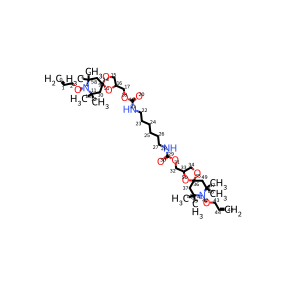 C=CCON1C(C)(C)CC2(CC1(C)C)OCC(COC(=O)NCCCCCCNC(=O)OCC1COC3(CC(C)(C)N(OCC=C)C(C)(C)C3)O1)O2